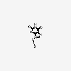 O=c1[nH]c(=O)c2ncn(N=C=S)c2[nH]1